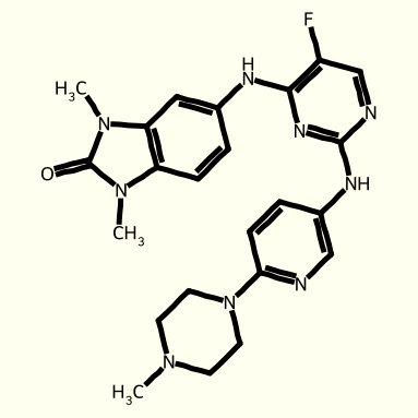 CN1CCN(c2ccc(Nc3ncc(F)c(Nc4ccc5c(c4)n(C)c(=O)n5C)n3)cn2)CC1